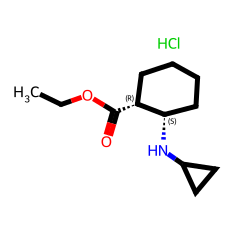 CCOC(=O)[C@@H]1CCCC[C@@H]1NC1CC1.Cl